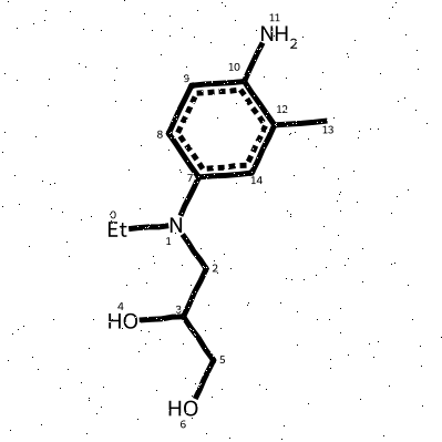 CCN(CC(O)CO)c1ccc(N)c(C)c1